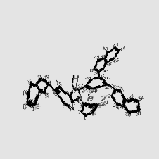 c1ccc(N2c3ncc(-c4ccc5ccccc5c4)cc3NC2c2cc(-c3ccc4ccccc4c3)cc(-c3ccc4ccccc4c3)c2)cc1